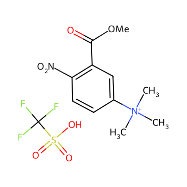 COC(=O)c1cc([N+](C)(C)C)ccc1[N+](=O)[O-].O=S(=O)(O)C(F)(F)F